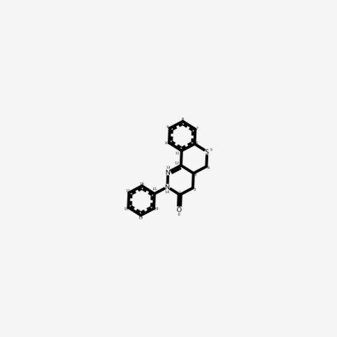 O=C1CC2CSc3ccccc3C2=NN1c1ccccc1